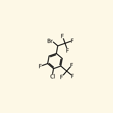 Fc1cc(C(Br)C(F)(F)F)cc(C(F)(F)F)c1Cl